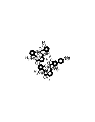 CC(NC(=O)c1c(C)cccc1C)=C1C=CCC(=C(C)NC(=O)c2c(C)cccc2C)N1.CC(NC(=O)c1c(C)cccc1C)=C1C=CCC(=C(C)NC(=O)c2c(C)cccc2C)N1.[Nd].[Nd][CH]1CCCCC1